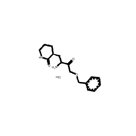 Cl.NC(C[C@@H]1CCCNC1=O)C(=O)COCc1ccccc1